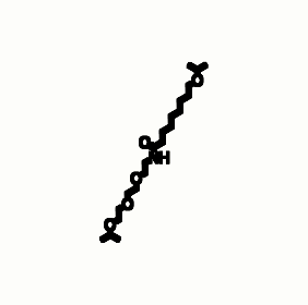 CC(C)OCCCCCCCCC(=O)NCCOCCOCCOC(C)C